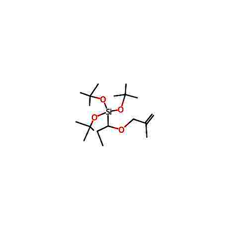 C=C(C)COC(CC)[Si](OC(C)(C)C)(OC(C)(C)C)OC(C)(C)C